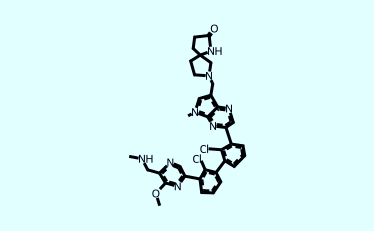 CNCc1ncc(-c2cccc(-c3cccc(-c4cnc5c(CN6CCC7(CCC(=O)N7)C6)cn(C)c5n4)c3Cl)c2Cl)nc1OC